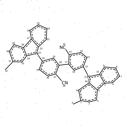 Cc1ccc2c3ccccc3n(-c3ccc(C#N)c(-c4cc(-n5c6ccccc6c6ccc(C)cc65)ccc4C#N)c3)c2c1